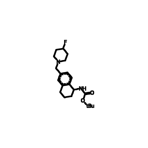 CC(C)(C)OC(=O)NC1CCCc2cc(CN3CCC(F)CC3)ccc21